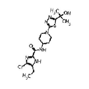 CCc1[nH]c(C(=O)NC2CCN(c3nnc(C(C)(C)O)s3)CC2)nc1Cl